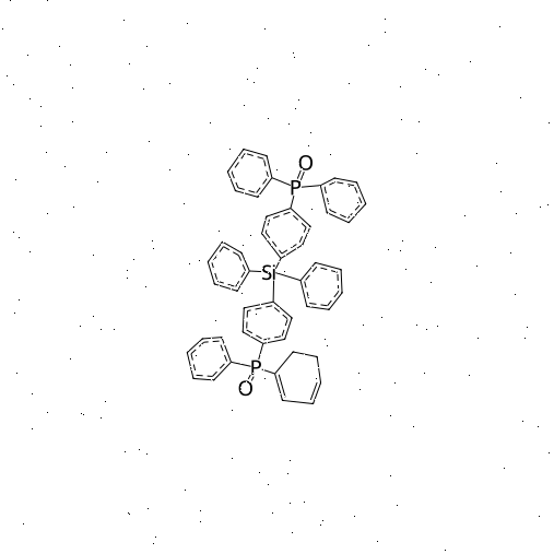 O=P(C1=CC=CCC1)(c1ccccc1)c1ccc([Si](c2ccccc2)(c2ccccc2)c2ccc(P(=O)(c3ccccc3)c3ccccc3)cc2)cc1